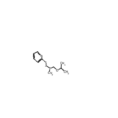 CC(C)OCP(C)SSc1ccccn1